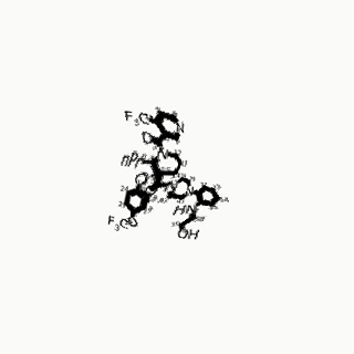 CCC[C@H]1N(C(=O)c2cnccc2C(F)(F)F)CCC[C@@]1(Oc1ccc(OC(F)(F)F)cc1)C(=O)N1CCN(c2ccccc2NCCO)CC1